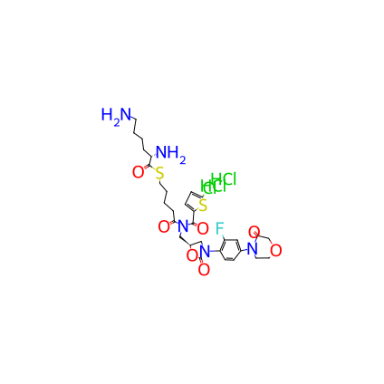 Cl.Cl.NCCCC[C@H](N)C(=O)SCCCCC(=O)N(C[C@H]1CN(c2ccc(N3CCOCC3=O)cc2F)C(=O)O1)C(=O)c1ccc(Cl)s1